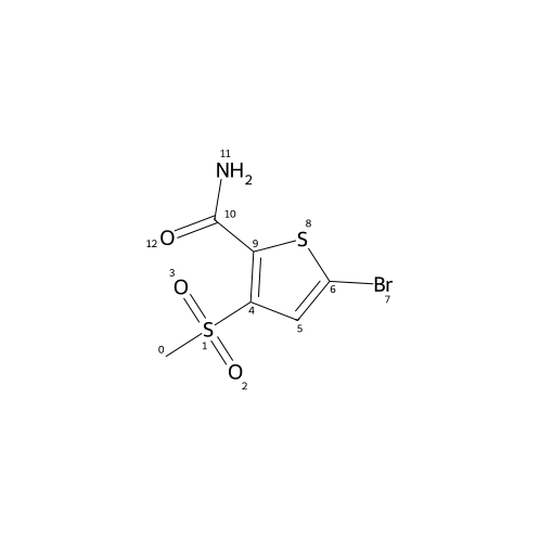 CS(=O)(=O)c1cc(Br)sc1C(N)=O